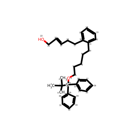 CC(C)(C)[Si](OCCCCCc1ccccc1CC/C=C/CO)(c1ccccc1)c1ccccc1